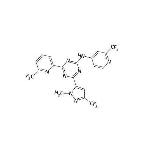 Cn1nc(C(F)(F)F)cc1-c1nc(Nc2ccnc(C(F)(F)F)c2)nc(-c2cccc(C(F)(F)F)n2)n1